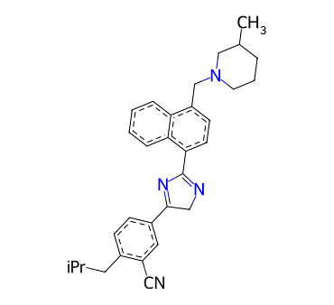 CC(C)Cc1ccc(C2=NC(c3ccc(CN4CCCC(C)C4)c4ccccc34)=NC2)cc1C#N